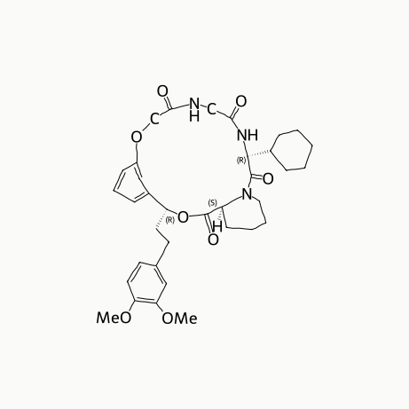 COc1ccc(CC[C@H]2OC(=O)[C@@H]3CCCCN3C(=O)[C@@H](C3CCCCC3)NC(=O)CNC(=O)COc3cccc2c3)cc1OC